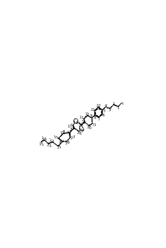 CCCCCc1ccc(C2CCC(C3OCC(C4CCC(CCCCC)CC4)CO3)CC2)cc1